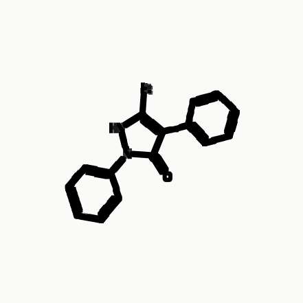 CCc1[nH]n(-c2ccccc2)c(=O)c1-c1ccccc1